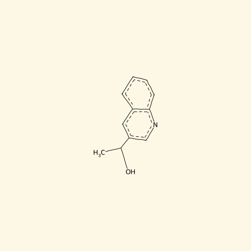 CC(O)c1cnc2ccccc2c1